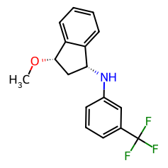 CO[C@H]1C[C@@H](Nc2cccc(C(F)(F)F)c2)c2ccccc21